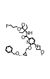 CCC(CC)(NC(=O)c1ccc(N2CC(OC)C2)c(OC[C@H]2C[C@@H]2COCc2ccccc2)n1)C(=O)OCCCF